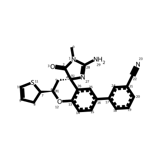 CN1C(=O)[C@@]2(C[C@H](C3CC=CS3)Oc3ccc(-c4cccc(C#N)c4)cc32)N=C1N